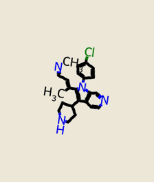 C/N=C\C=C(/C)c1c(C2CCNCC2)c2ccncc2n1-c1ccc(Cl)cc1